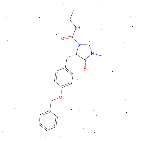 CCNC(=O)N1CN(C)C(=O)[C@@H]1Cc1ccc(OCc2ccccc2)cc1